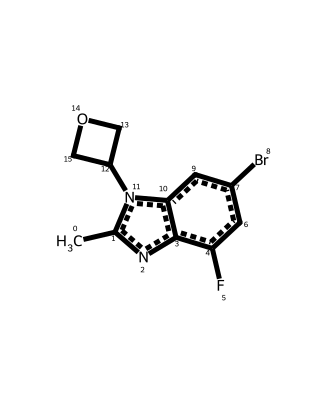 Cc1nc2c(F)cc(Br)cc2n1C1COC1